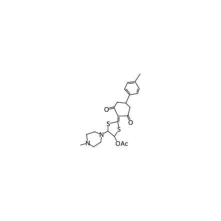 CC(=O)OC1SC(=C2C(=O)CC(c3ccc(C)cc3)CC2=O)SC1N1CCN(C)CC1